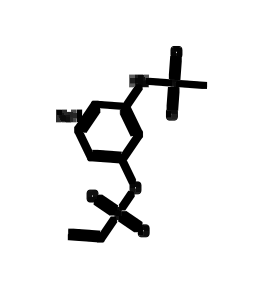 C=CS(=O)(=O)Oc1cccc(NS(C)(=O)=O)c1.[NaH]